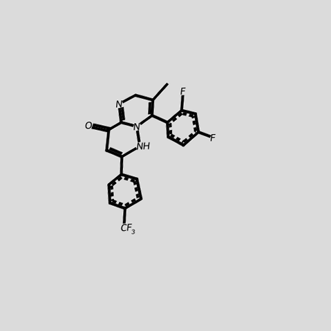 CC1=C(c2ccc(F)cc2F)N2NC(c3ccc(C(F)(F)F)cc3)=CC(=O)C2=NC1